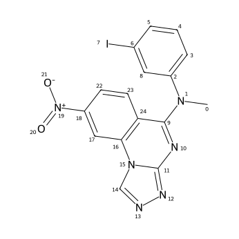 CN(c1cccc(I)c1)c1nc2nncn2c2cc([N+](=O)[O-])ccc12